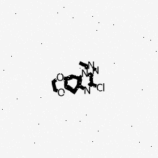 Cc1nnc2c(Cl)nc3cc4c(cc3n12)OCCO4